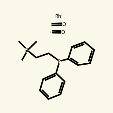 C[Si](C)(C)CCP(c1ccccc1)c1ccccc1.[C]=O.[C]=O.[Rh]